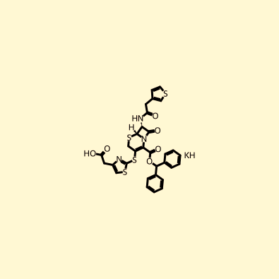 O=C(O)Cc1csc(SC2=C(C(=O)OC(c3ccccc3)c3ccccc3)N3C(=O)[C@@H](NC(=O)Cc4ccsc4)[C@H]3SC2)n1.[KH]